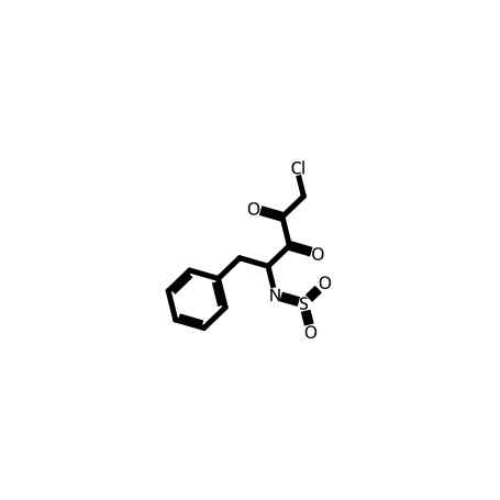 O=C(CCl)C(=O)C(Cc1ccccc1)N=S(=O)=O